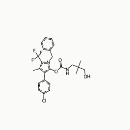 Cc1c(-c2ccc(Cl)cc2)c(OC(=O)NCC(C)(C)CO)n(Cc2ccccc2)c1C(F)(F)F